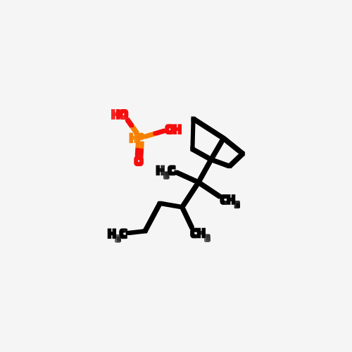 CCCC(C)C(C)(C)C12CCC1CC2.O=[PH](O)O